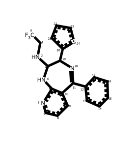 FC(F)(F)CNC1Nc2ncccc2C(c2ccccc2)=NC1c1cccs1